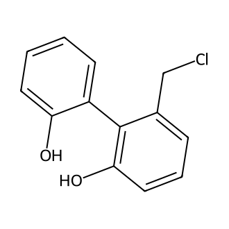 Oc1ccccc1-c1c(O)cccc1CCl